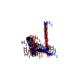 CC[C@H](C)[C@@H]([C@@H](CC(=O)N1CCC[C@H]1C(OC)[C@@H](C)C(=O)N[C@H](C)[C@@H](O)c1ccccc1)OC)N(C)C(=O)[C@@H](NC(=O)[C@H](C(C)C)N(C)C(=O)OCc1ccc(NC(=O)[C@H](CCCNC(N)=O)NC(=O)[C@@H](NC(=O)CCOCCOCCOCCOCCOCCOCCN)C(C)C)cc1)C(C)C